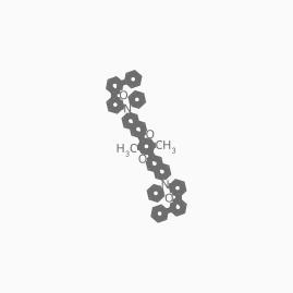 Cc1c2oc3cc4cc(N(c5ccccc5)c5cccc6c5oc5c(-c7ccccc7)cccc56)ccc4cc3c2c(C)c2oc3cc4cc(N(c5ccccc5)c5cccc6c5oc5c(-c7ccccc7)cccc56)ccc4cc3c12